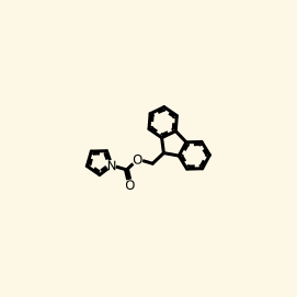 O=C(OCC1c2ccccc2-c2ccccc21)n1cccc1